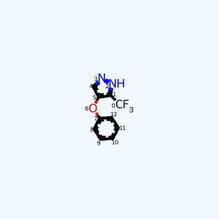 FC(F)(F)c1[nH]n[c]c1Oc1ccccc1